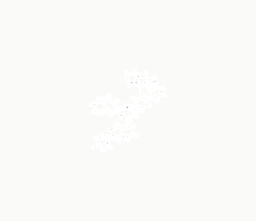 C1=c2ccccc2=CC2c3c(cccc3-c3ccc(C4=NC(c5ccc6ccccc6c5)=NC(c5cccc6cc(-c7ccccc7)ccc56)N4)cc3)OC12